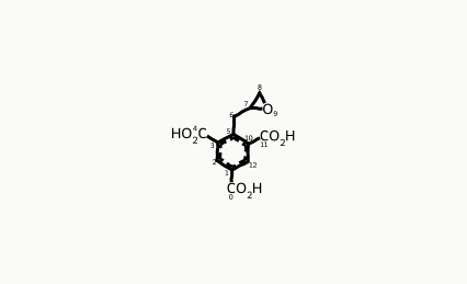 O=C(O)c1cc(C(=O)O)c(CC2CO2)c(C(=O)O)c1